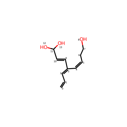 C=C/C=C(\C=C/CCO)/C=C/C(O)O